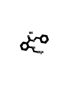 O=C(O)CNc1ccccc1C(=O)OCc1ccccc1.[KH]